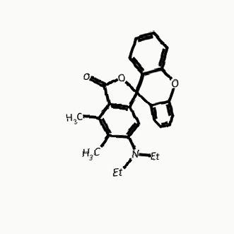 CCN(CC)c1cc2c(c(C)c1C)C(=O)OC21c2ccccc2Oc2ccccc21